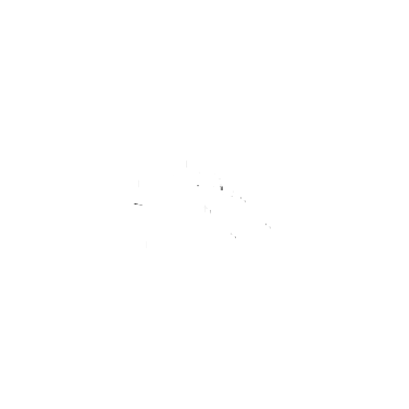 C[Si](C)(C)[C@@]1(n2cnc(N)nc2=O)O[C@H](CO)[C@@H](O)C1(F)F